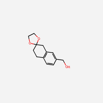 OCc1ccc2c(c1)CC1(CC2)OCCO1